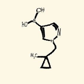 CC1(Cn2cc(B(O)O)cn2)CC1